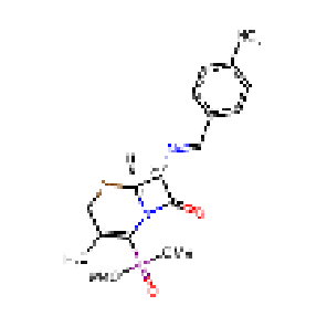 COP(=O)(OC)C1=C(C)CS[C@H]2[C@H](N=Cc3ccc([N+](=O)[O-])cc3)C(=O)N12